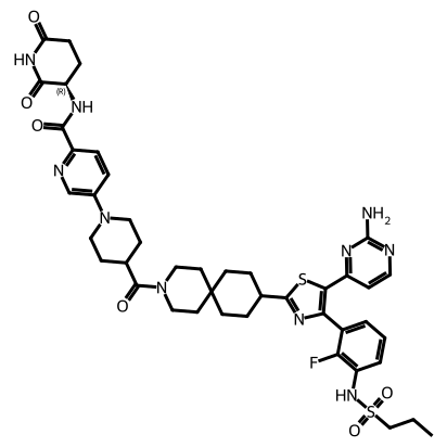 CCCS(=O)(=O)Nc1cccc(-c2nc(C3CCC4(CC3)CCN(C(=O)C3CCN(c5ccc(C(=O)N[C@@H]6CCC(=O)NC6=O)nc5)CC3)CC4)sc2-c2ccnc(N)n2)c1F